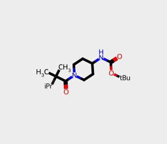 CC(C)C(C)(C)C(=O)N1CCC(NC(=O)OC(C)(C)C)CC1